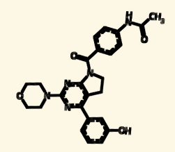 CC(=O)Nc1ccc(C(=O)N2CCc3c(-c4cccc(O)c4)nc(N4CCOCC4)nc32)cc1